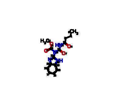 CCCC(=O)NC(=O)N(C(=O)OC)c1nc2ccccc2[nH]1